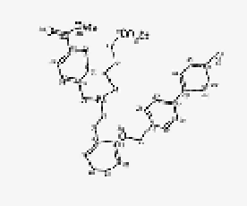 CCOC(=O)CCCCN(CCc1ccccc1OCc1ccc(-c2ccc(Cl)cc2)cc1)Cc1ccc(C(=O)OC)cc1